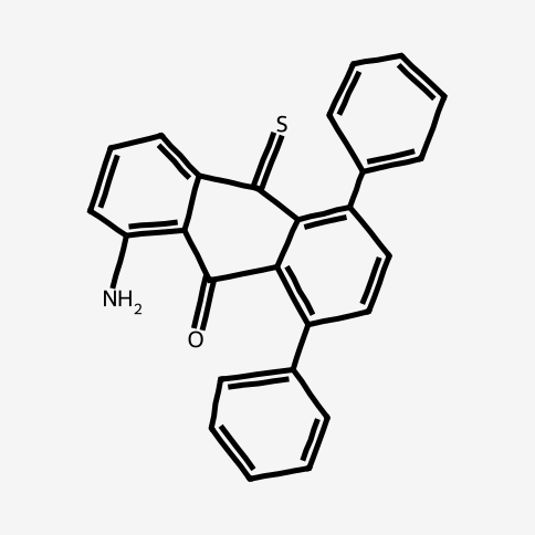 Nc1cccc2c1C(=O)c1c(-c3ccccc3)ccc(-c3ccccc3)c1C2=S